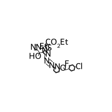 CCOC(=O)c1cn2c(C(O)c3cncn3CC)c(CN3CCN(c4cccc(OCc5ccc(Cl)cc5F)n4)CC3)nc2s1